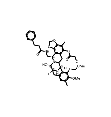 COCOc1c(OC)c(C)cc2c1[C@H]1N[C@H](C2)[C@H](C#N)N2C1Cc1c(OC(=O)CCl)c(C)c3c(c1[C@@H]2CNC(=O)CCc1ccccc1)OCO3